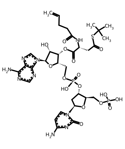 C=CCCC(=O)N[C@H](CC(=O)SC(C)(C)C)C(=O)O[C@H]1[C@@H](O)[C@H](n2cnc3c(N)ncnc32)O[C@H]1COP(=O)(O)O[C@H]1C[C@H](n2ccc(N)nc2=O)O[C@@H]1COP(=O)(O)O